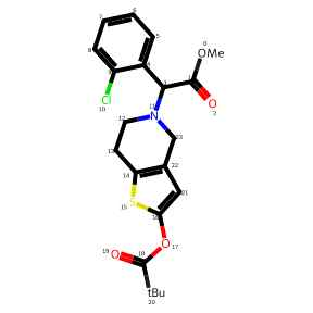 COC(=O)C(c1ccccc1Cl)N1CCc2sc(OC(=O)C(C)(C)C)cc2C1